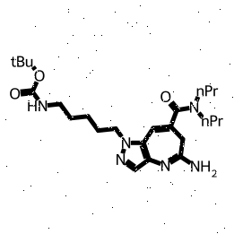 CCCN(CCC)C(=O)C1=Cc2c(cnn2CCCCCNC(=O)OC(C)(C)C)N=C(N)C1